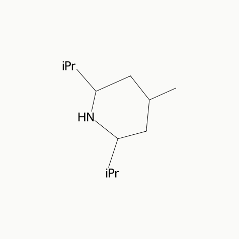 CC1CC(C(C)C)NC(C(C)C)C1